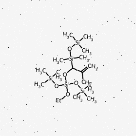 C=C(C)C(O[Si](OCC)(O[Si](C)(C)C)O[Si](C)(C)C)[Si](C)(C)O[Si](C)(C)C